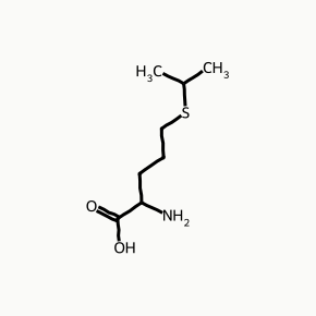 CC(C)SCCCC(N)C(=O)O